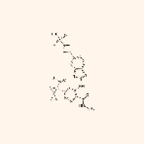 CNC(=O)c1nnc([C@@]2(C(N)=O)CC23CC3)cc1Nc1nc2ccc(C3CN(S(C)(=O)=O)C3)cn2n1